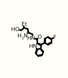 CCC(CO)C[C@@H](N)CNC(=O)c1[nH]c2ccccc2c1-c1ccc(F)cc1